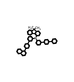 CC1(C)c2ccccc2-c2c(N(c3cccc(-c4ccc(-c5ccccc5)cc4)c3)c3cccc(-c4ccc(-c5cccc6ccccc56)cc4)c3)cccc21